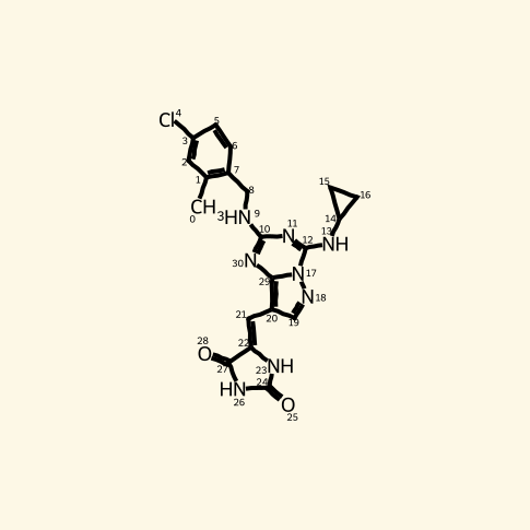 Cc1cc(Cl)ccc1CNc1nc(NC2CC2)n2ncc(/C=C3\NC(=O)NC3=O)c2n1